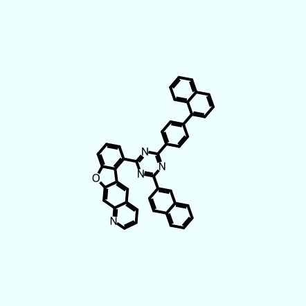 c1ccc2cc(-c3nc(-c4ccc(-c5cccc6ccccc56)cc4)nc(-c4cccc5oc6cc7ncccc7cc6c45)n3)ccc2c1